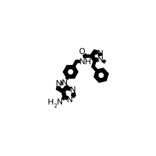 Cn1ncc(C(=O)NCc2ccc(-n3ncc4c(N)ncnc43)cc2)c1Cc1ccccc1